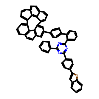 c1ccc(-c2nc(-c3ccc(-c4cc5ccccc5s4)cc3)nc(-c3ccccc3-c3ccc(-c4cc5ccc6cccc7c8cccc9ccc%10cccc(c(c4)c5c67)c%10c98)cc3)n2)cc1